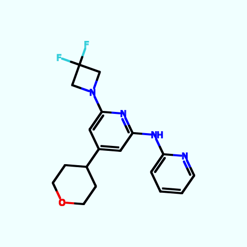 FC1(F)CN(c2cc(C3CCOCC3)cc(Nc3ccccn3)n2)C1